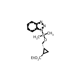 CCOC(=O)[C@@H]1C[C@H]1CO[Si](C)(C)n1nnc2ccccc21